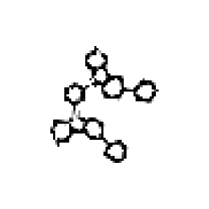 c1ccc(-c2ccc3c(c2)c2cnccc2n3-c2cccc(-n3c4ccncc4c4cc(-c5ccccc5)ccc43)c2)cc1